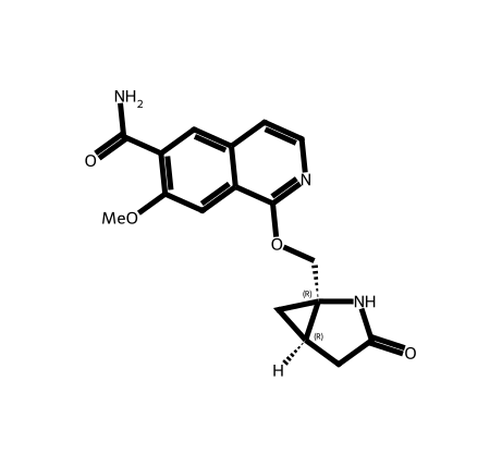 COc1cc2c(OC[C@@]34C[C@@H]3CC(=O)N4)nccc2cc1C(N)=O